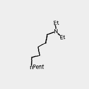 [CH2]CCCCCCCCCN(CC)CC